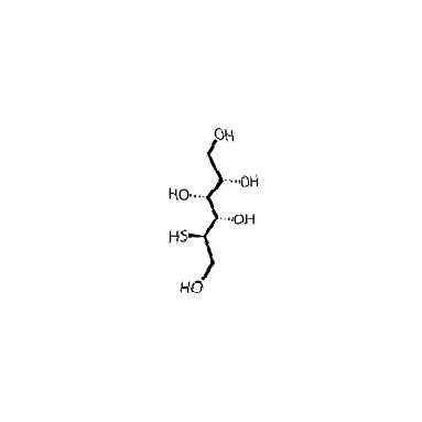 OC[C@@H](S)[C@@H](O)[C@H](O)[C@@H](O)CO